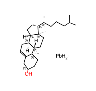 CC(C)CCC[C@@H](C)[C@H]1CC[C@H]2[C@@H]3CC=C4C[C@@H](O)CC[C@]4(C)[C@H]3CC[C@]12C.[PbH2]